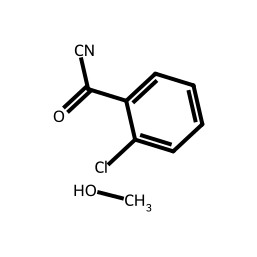 CO.N#CC(=O)c1ccccc1Cl